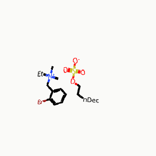 CCCCCCCCCCCCOS(=O)(=O)[O-].CC[N+](C)(C)Cc1ccccc1Br